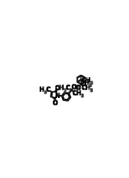 CC1=CC(=O)N(c2cccc(C(C)(C)OOC3(C)CCC4CC3C4(C)C)c2)C1=O